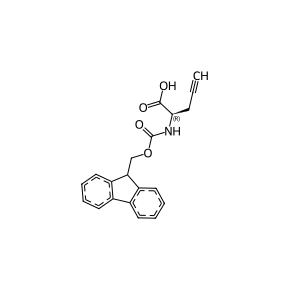 C#CC[C@@H](NC(=O)OCC1c2ccccc2-c2ccccc21)C(=O)O